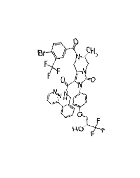 C[C@@H]1Cn2c(c(C(=O)NCc3ccccc3-c3cccnn3)n(-c3ccc(OC[C@@H](O)C(F)(F)F)cc3)c2=O)CN1C(=O)c1ccc(Br)c(C(F)(F)F)c1